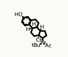 CC(=O)N(C1CC[C@H]2[C@@H]3CCc4cc(O)ccc4[C@H]3CC[C@]12C)C(C)(C)C